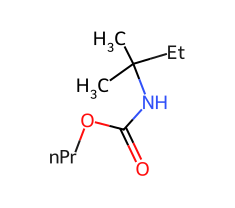 [CH2]CC(C)(C)NC(=O)OCCC